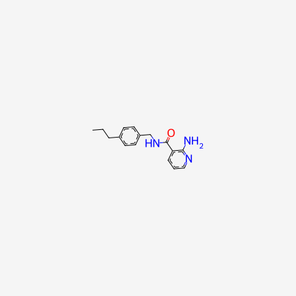 CCCc1ccc(CNC(=O)c2cccnc2N)cc1